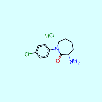 Cl.N[C@H]1CCCCN(c2ccc(Cl)cc2)C1=O